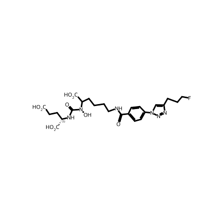 O=C(O)CC[C@H](NC(=O)N(O)C(CCCCNC(=O)c1ccc(-n2cc(CCCF)nn2)cc1)C(=O)O)C(=O)O